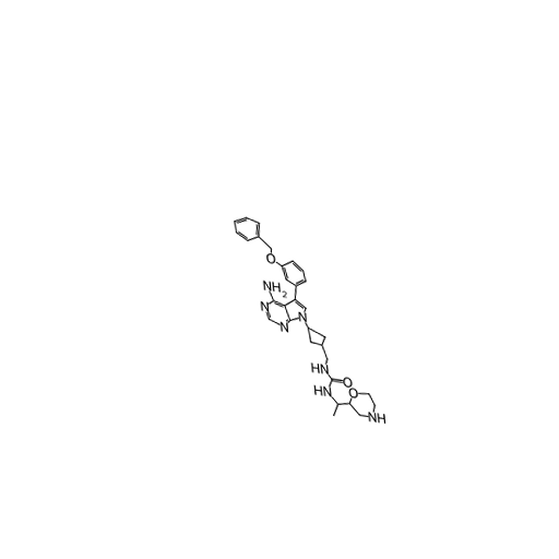 CC(NC(=O)NCC1CC(n2cc(-c3cccc(OCc4ccccc4)c3)c3c(N)ncnc32)C1)C1CNCCO1